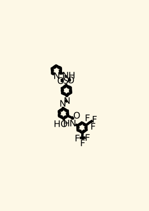 O=C(Nc1cc(C(F)(F)F)cc(C(F)(F)F)c1)c1cc(N=Nc2ccc(S(=O)(=O)Nc3ccccn3)cc2)ccc1O